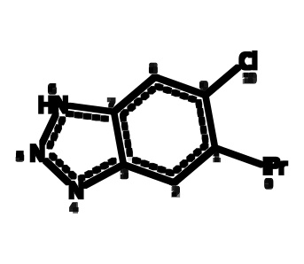 CC(C)c1cc2nn[nH]c2cc1Cl